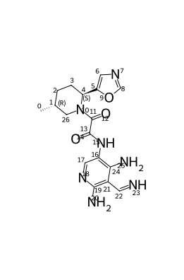 C[C@@H]1CC[C@@H](c2cnco2)N(C(=O)C(=O)Nc2cnc(N)c(C=N)c2N)C1